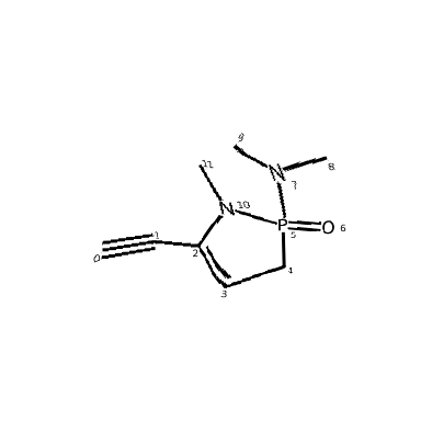 C#CC1=CCP(=O)(N(C)C)N1C